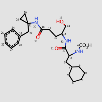 O=C(O)NC(CC1CCCCC1)C(=O)NC(CO)CCC(=O)NC1(Cc2ccccc2)CC1